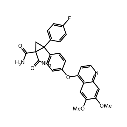 COc1cc2nccc(Oc3ccc(C4(c5ccc(F)cc5)CC4(C(N)=O)C(N)=O)cc3)c2cc1OC